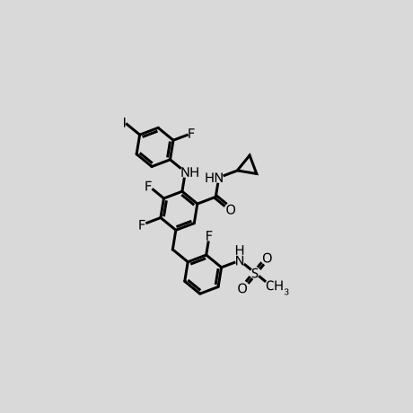 CS(=O)(=O)Nc1cccc(Cc2cc(C(=O)NC3CC3)c(Nc3ccc(I)cc3F)c(F)c2F)c1F